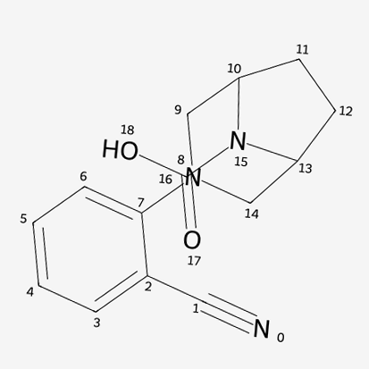 N#Cc1ccccc1N1CC2CCC(C1)N2C(=O)O